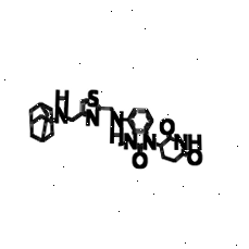 Cn1c(=O)n(C2CCC(=O)NC2=O)c2cccc(NCc3nc(CNC45CC6CC(CC(C6)C4)C5)cs3)c21